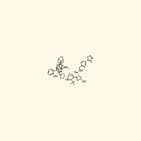 Cc1ncsc1-c1ccc(CNC(=O)[C@@H]2C[C@@H](O)CN2C(=O)C(NC(=O)[C@@H]2CCN(Cc3cnc(N4C5CCC4CN(c4cc(-c6ccccc6O)nnc4N)C5)nc3)C2)C(C)(C)C)cc1